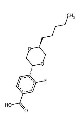 CCCCC[C@H]1CO[C@H](c2ccc(C(=O)O)cc2F)CO1